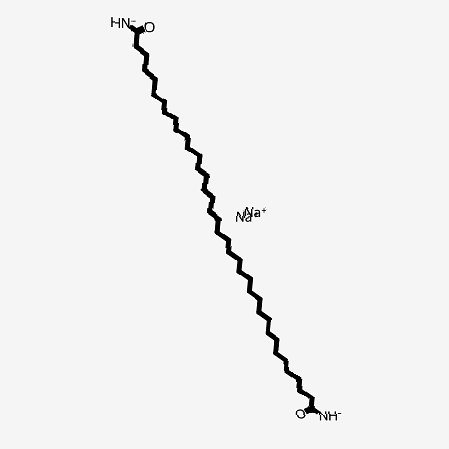 [NH-]C(=O)CCCCCCCCCCCCCCCCCCCCCCCCCCCCCCCCCCCCC([NH-])=O.[Na+].[Na+]